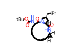 CC(C)C[C@@H]1C[C@H]2C(=O)N[C@@H]3C[C@H]3/C=C\CCCCC[C@H](NC(=O)OC(C)(C)C)C(=O)N2C1